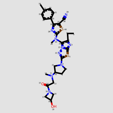 CCc1nc2sc(N3CCC(N(C)CC(=O)N4CC(O)C4)C3)nn2c1N(C)c1nc(-c2ccc(C)cc2)c(C#N)s1